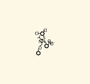 CC(C)c1nc(CCOCc2ccccc2)n(Cc2ccccc2[N+](=O)[O-])c1Sc1cc(Cl)cc(Cl)c1